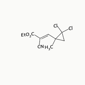 CCOC(=O)C(C#N)=CC1(C)CC1(Cl)Cl